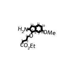 CCOC(=O)CCCOC1c2cc(OC)ccc2CC1N